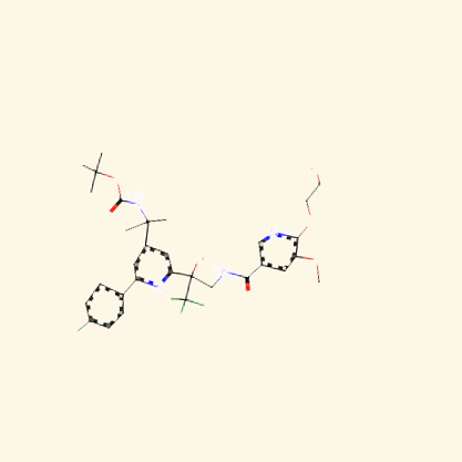 COc1cc(C(=O)NCC(O)(c2cc(C(C)(C)NC(=O)OC(C)(C)C)cc(-c3ccc(F)cc3)n2)C(F)(F)F)cnc1OCCO